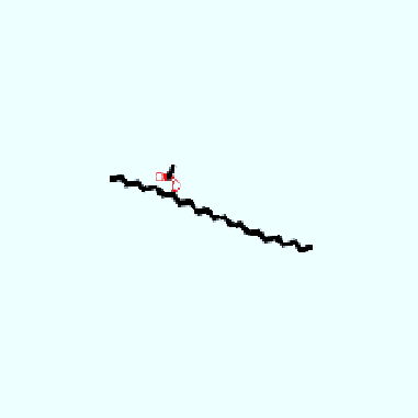 CCCCCCCCCCCCC=CCCC(CCCCCCC)OC(C)=O